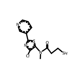 CN(C(=O)CCS)c1sc(-c2cccnc2)nc1Cl